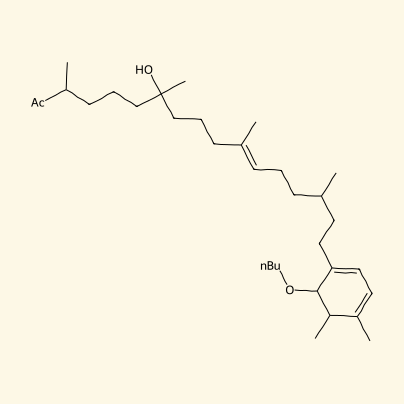 CCCCOC1C(CCC(C)CC/C=C(\C)CCCC(C)(O)CCCC(C)C(C)=O)=CC=C(C)C1C